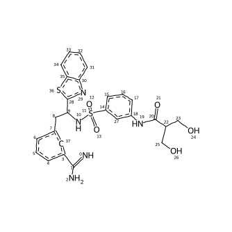 N=C(N)c1cccc(CC(NS(=O)(=O)c2cccc(NC(=O)C(CO)CO)c2)c2nc3ccccc3s2)c1